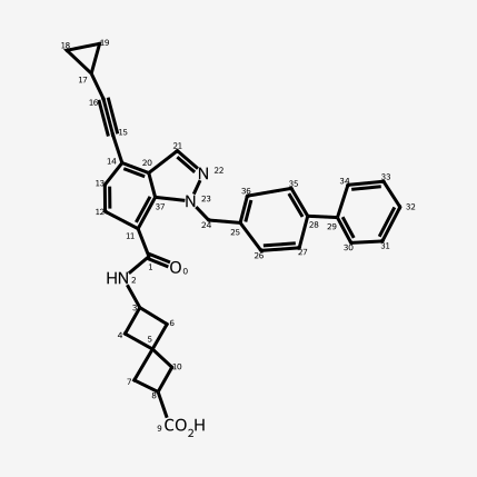 O=C(NC1CC2(C1)CC(C(=O)O)C2)c1ccc(C#CC2CC2)c2cnn(Cc3ccc(-c4ccccc4)cc3)c12